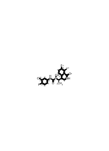 C[C@H](c1c[nH]c(=O)c2c(F)c(F)ccc12)N(C)C(=O)Nc1ccc(F)c(Cl)c1